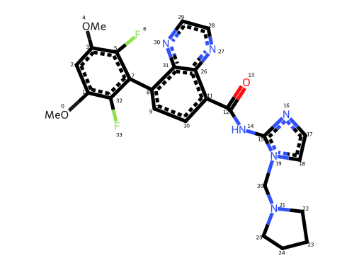 COc1cc(OC)c(F)c(-c2ccc(C(=O)Nc3nccn3CN3CCCC3)c3nccnc23)c1F